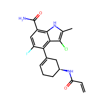 C=CC(=O)N[C@H]1CCC=C(c2c(F)cc(C(N)=O)c3[nH]c(C)c(Cl)c23)C1